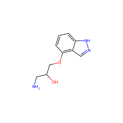 NCC(O)COc1cccc2[nH]ncc12